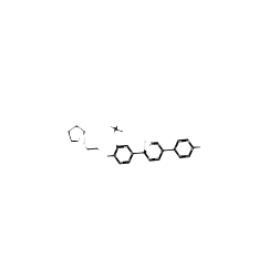 FC(F)(F)Oc1cc(-c2ccc(-c3ccc(Cl)cc3)cn2)ccc1OCCN1CCCC1